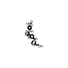 CN1CCN(C(=O)C2CCc3c(sc4ncnc(Nc5ccc6[nH]c(=O)sc6c5)c34)C2)CC1CCO